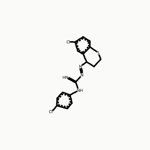 N=C(N=NC1CCSc2ccc(Cl)cc21)Nc1ccc(Cl)cc1